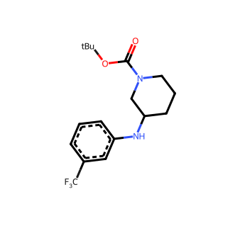 CC(C)(C)OC(=O)N1CCCC(Nc2cccc(C(F)(F)F)c2)C1